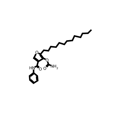 CCCCCCCCCCCCCc1occ(C(=O)Nc2ccccc2)c1OC(N)=O